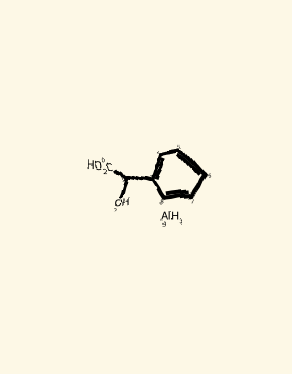 O=C(O)C(O)c1ccccc1.[AlH3]